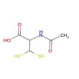 CC(=O)NC(C(=O)O)C(S)S